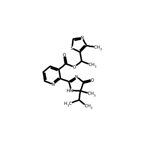 Cc1ncsc1C(C)OC(=O)c1cccnc1C1=NC(=O)C(C)(C(C)C)N1